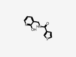 O=C(NCc1cccnc1O)c1ccsc1